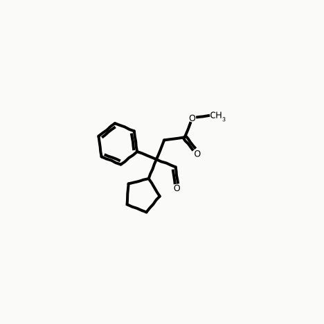 COC(=O)CC(C=O)(c1ccccc1)C1CCCC1